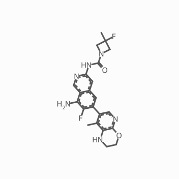 Cc1c(-c2cc3cc(NC(=O)N4CC(C)(F)C4)ncc3c(N)c2F)cnc2c1NCCO2